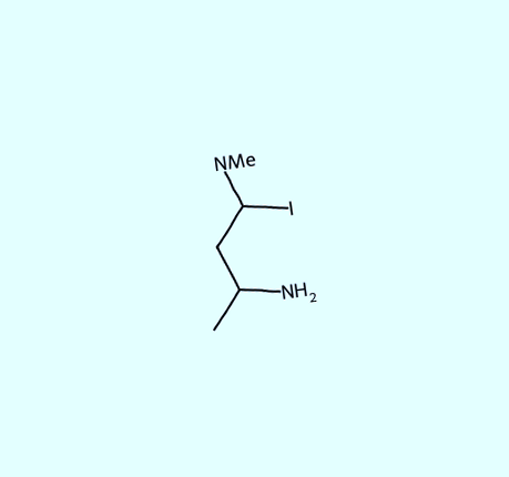 CNC(I)CC(C)N